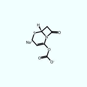 O=C([O-])OC1=CCS[C@@H]2CC(=O)N12.[Na+]